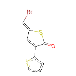 O=C1S/C(=C\Br)C=C1c1cccs1